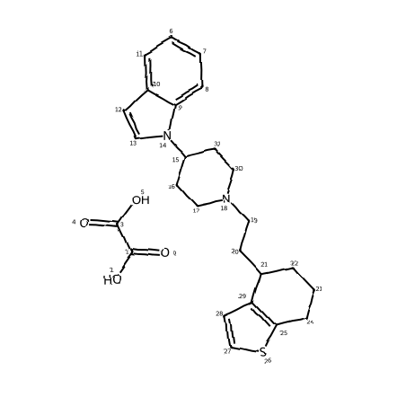 O=C(O)C(=O)O.c1ccc2c(c1)ccn2C1CCN(CCC2CCCc3sccc32)CC1